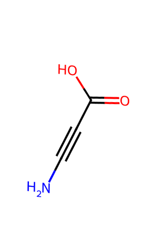 NC#CC(=O)O